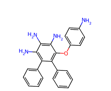 Nc1ccc(Oc2c(N)c(N)c(N)c(-c3ccccc3)c2-c2ccccc2)cc1